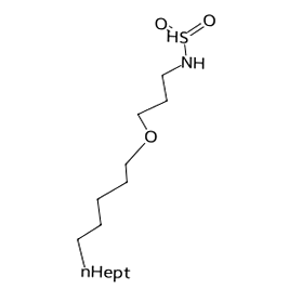 CCCCCCCCCCCCOCCCN[SH](=O)=O